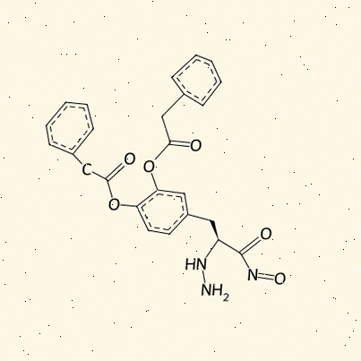 NN[C@@H](Cc1ccc(OC(=O)Cc2ccccc2)c(OC(=O)Cc2ccccc2)c1)C(=O)N=O